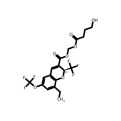 CCc1cc(OC(F)(F)F)cc2c1O[C@H](C(F)(F)F)C(C(=O)OCOC(=O)CCCO)=C2